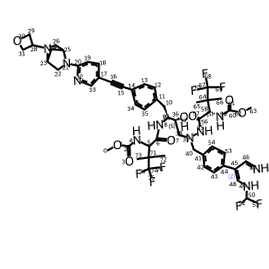 COC(=O)NC(C(=O)N[C@@H](Cc1ccc(C#Cc2ccc(N3CC4CC3=CN4C3COC3)nc2)cc1)[C@@H](O)CN(Cc1ccc(/C(C=N)=C/NC(F)F)cc1)NC(=O)[C@@H](NC(=O)OC)C(C)(C)C(F)(F)F)C(C)(C)C(F)(F)F